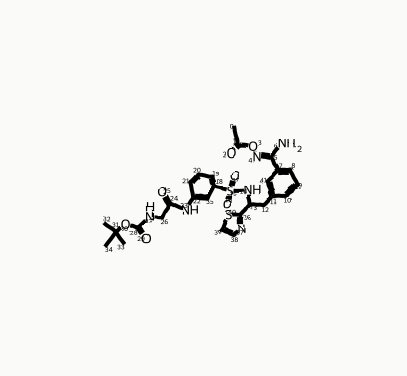 CC(=O)ON=C(N)c1cccc(CC(NS(=O)(=O)c2cccc(NC(=O)CNC(=O)OC(C)(C)C)c2)c2nccs2)c1